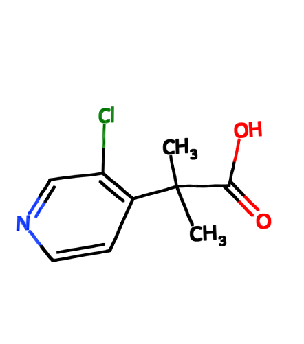 CC(C)(C(=O)O)c1ccncc1Cl